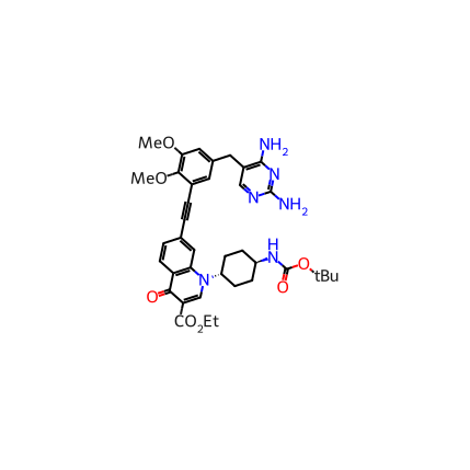 CCOC(=O)c1cn([C@H]2CC[C@H](NC(=O)OC(C)(C)C)CC2)c2cc(C#Cc3cc(Cc4cnc(N)nc4N)cc(OC)c3OC)ccc2c1=O